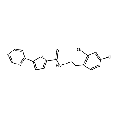 O=C(NCCc1ccc(Cl)cc1Cl)c1ccc(-c2ccncn2)s1